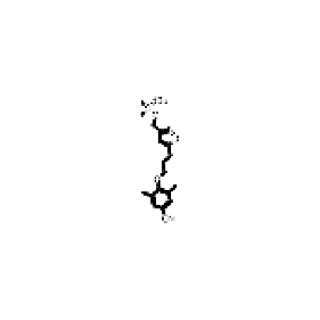 Cc1cc(C#N)cc(C)c1OCCCc1cc(CO[Si](C)(C)C(C)(C)C)no1